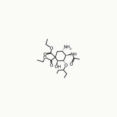 CCOC(=O)C1(C(=O)OCC)C[C@H](N)[C@@H](NC(C)=O)[C@H](OC(CC)CC)[C@H]1O